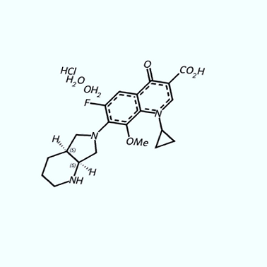 COc1c(N2C[C@@H]3CCCN[C@@H]3C2)c(F)cc2c(=O)c(C(=O)O)cn(C3CC3)c12.Cl.O.O